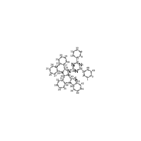 c1ccc(-c2nc(-c3ccccc3)nc(-n3c4c5ccccc5c5ccccc5c4c4c5ccccc5c5c6ccccc6sc5c43)n2)cc1